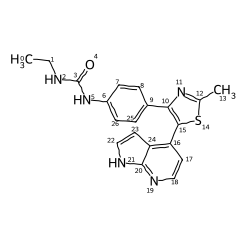 CCNC(=O)Nc1ccc(-c2nc(C)sc2-c2ccnc3[nH]ccc23)cc1